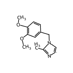 COc1ccc(Cn2c[c]nc2C)cc1OC